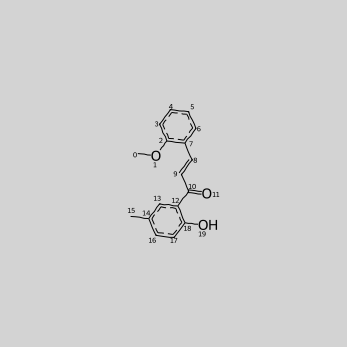 COc1ccccc1C=CC(=O)c1cc(C)ccc1O